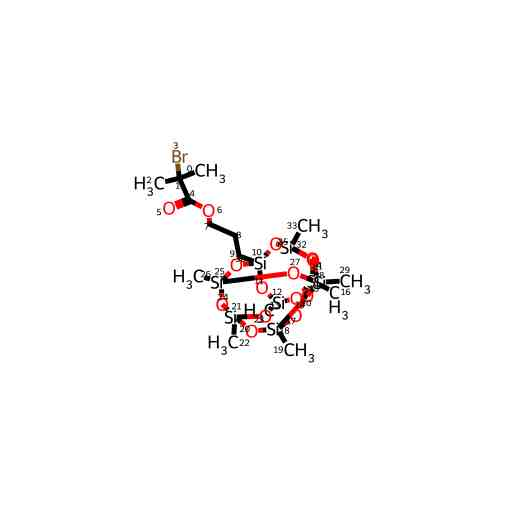 CC(C)(Br)C(=O)OCCC[Si]12O[Si]3(C)O[Si]4(C)O[Si]5(C)O[Si](C)(O3)O[Si](C)(O[Si](C)(O5)O[Si](C)(O4)O1)O2